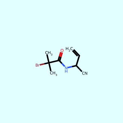 C=CC(C#N)NC(=O)C(C)(C)Br